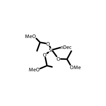 CCCCCCCCCC[Si](OC(C)OC)(OC(C)OC)OC(C)OC